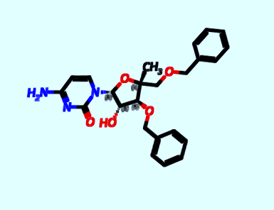 C[C@]1(COCc2ccccc2)O[C@@H](n2ccc(N)nc2=O)[C@@H](O)[C@@H]1OCc1ccccc1